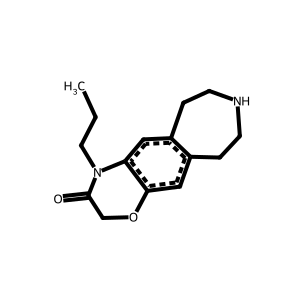 CCCN1C(=O)COc2cc3c(cc21)CCNCC3